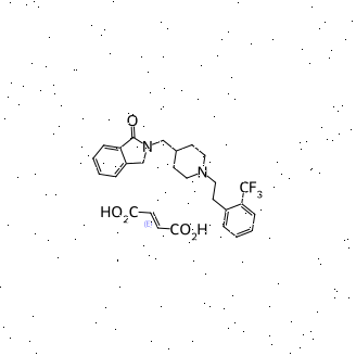 O=C(O)/C=C/C(=O)O.O=C1c2ccccc2CN1CC1CCN(CCc2ccccc2C(F)(F)F)CC1